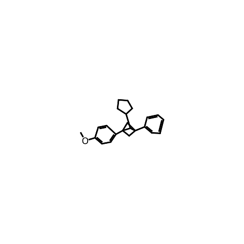 COc1ccc(C23CC(c4ccccc4)(C2)C3C2CCCC2)cc1